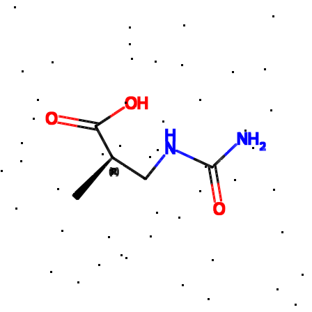 C[C@H](CNC(N)=O)C(=O)O